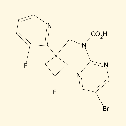 O=C(O)N(CC1(c2ncccc2F)CC(F)C1)c1ncc(Br)cn1